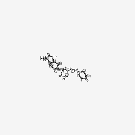 c1ccc(COCC2CN(c3cnc4[nH]ccc4c3)CCO2)cc1